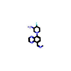 C/N=C\c1ccc(N2CCC(F)C(N)C2)c2nccnc12